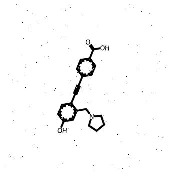 O=C(O)c1ccc(C#Cc2ccc(O)cc2CN2CCCC2)cc1